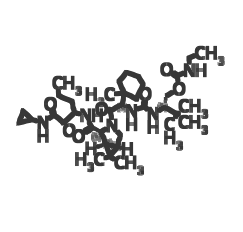 CCCC(NC(=O)[C@@H]1[C@@H]2[C@H](CN1C(=O)[C@@H](NC(=O)N[C@H](COC(=O)NCC)C(C)(C)C)C1(C)CCCCC1)C2(C)C)C(=O)C(=O)NC1CC1